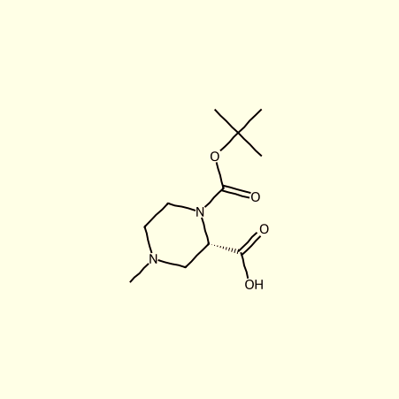 CN1CCN(C(=O)OC(C)(C)C)[C@H](C(=O)O)C1